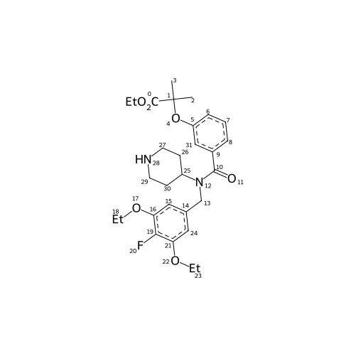 CCOC(=O)C(C)(C)Oc1cccc(C(=O)N(Cc2cc(OCC)c(F)c(OCC)c2)C2CCNCC2)c1